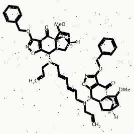 C=CCN(C/C=C/C=C/CN(CC=C)[C@@H]1c2onc(OCc3ccccc3)c2C(=O)[C@]23O[C@H](C=C2OC)CC13)[C@@H]1c2onc(OCc3ccccc3)c2C(=O)[C@@]23O[C@@H](C=C2OC)CC13